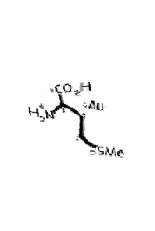 CSCCC(N)C(=O)O.[Au]